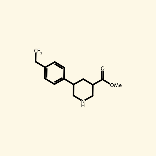 COC(=O)C1CNCC(c2ccc(CC(F)(F)F)cc2)C1